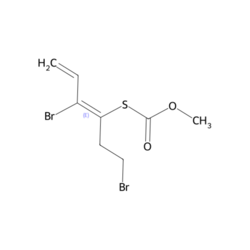 C=C/C(Br)=C(/CCBr)SC(=O)OC